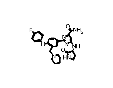 NC(=O)c1cc(N[C@H]2CCNC2=O)nc(-c2ccc(Oc3ccc(F)cc3)c(CN3CCCCC3)c2)n1